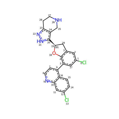 Clc1cc2c(c(-c3ccnc4cc(Cl)ccc34)c1)O[C@@H](c1[nH]nc3c1CNCC3)C2